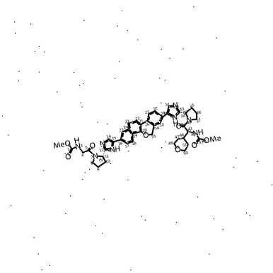 COC(=O)NCC(=O)N1CCC[C@H]1c1ncc(-c2ccc3c4c(ccc3c2)-c2ccc(-c3cnc([C@@H]5CCCN5C(=O)[C@@H](NC(=O)OC)C5CCOCC5)[nH]3)cc2CO4)[nH]1